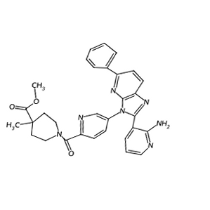 COC(=O)C1(C)CCN(C(=O)c2ccc(-n3c(-c4cccnc4N)nc4ccc(-c5ccccc5)nc43)cn2)CC1